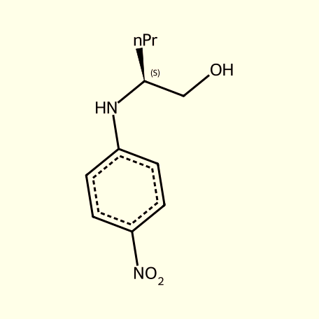 CCC[C@@H](CO)Nc1ccc([N+](=O)[O-])cc1